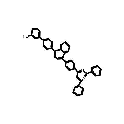 N#Cc1cccc(-c2ccc(-c3ccc(-c4ccc(-c5cc(-c6ccccc6)nc(-c6ccccc6)n5)cc4)c4ccccc34)cc2)c1